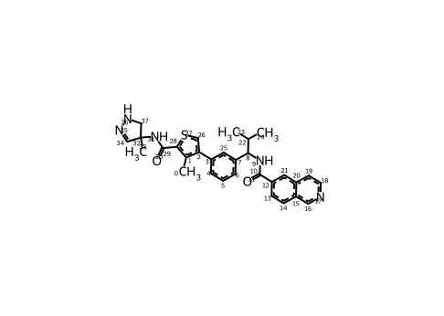 Cc1c(-c2cccc(C(NC(=O)c3ccc4cnccc4c3)C(C)C)c2)csc1C(=O)NC1(C)C=NNC1